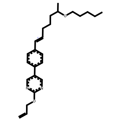 C=CCOc1ncc(-c2ccc(/C=C/CCCC(C)OCCCCC)cc2)cn1